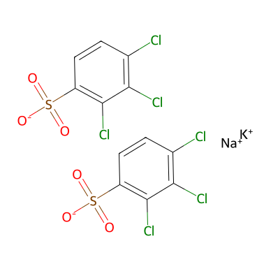 O=S(=O)([O-])c1ccc(Cl)c(Cl)c1Cl.O=S(=O)([O-])c1ccc(Cl)c(Cl)c1Cl.[K+].[Na+]